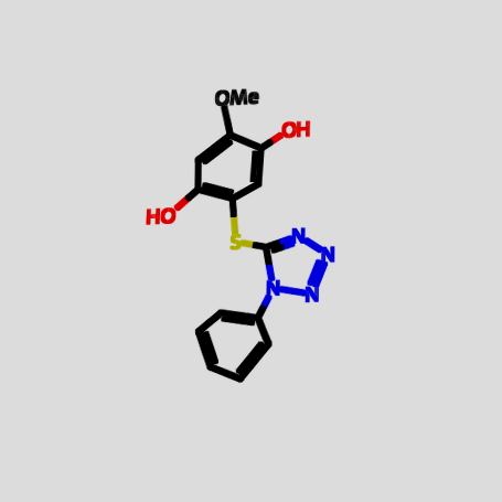 COc1cc(O)c(Sc2nnnn2-c2ccccc2)cc1O